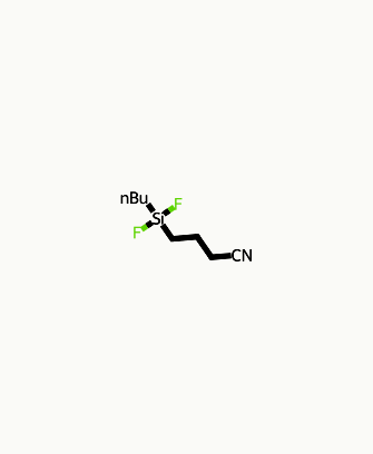 CCCC[Si](F)(F)CCCC#N